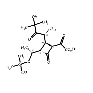 CCOC(=O)C(=O)N1C(=O)[C@H]([C@@H](C)O[Si](C)(C)C(C)(C)C)[C@H]1[C@@H](C)C(=O)C(C)(C)O